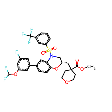 COC(=O)C1(C[C@H]2CN(S(=O)(=O)c3cccc(C(F)(F)F)c3)c3cc(-c4cc(F)cc(OC(F)F)c4)ccc3O2)CCOCC1